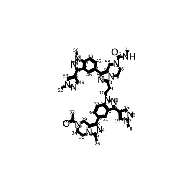 CNC(=O)N1CCn2c(CCn3nc(-c4cnn(C)c4)c4cc(-c5nc(C)n6c5CN(C(C)=O)CC6)ccc43)nc(-c3ccc4c(c3)c(-c3cnn(C)c3)nn4C)c2C1